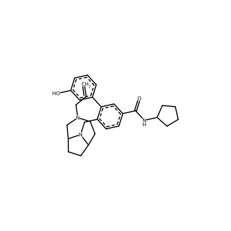 C=CCN1CCC2CCC(C1)N2Cc1ccc(C(=O)NC2CCCC2)cc1-c1cccc(O)c1